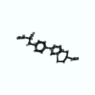 CCCCCCCCC1CCc2cc(-c3ccc(OC(=O)CCCCC)cc3)ccc2C1